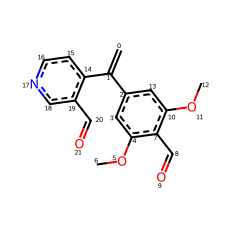 C=C(c1cc(OC)c(C=O)c(OC)c1)c1ccncc1C=O